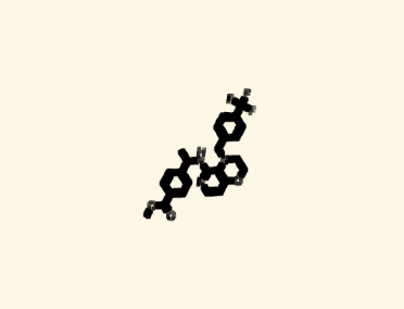 COC(=O)c1ccc(C(C)Nc2nccc3c2N(Cc2ccc(C(F)(F)F)cc2)CCO3)cc1